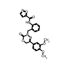 COc1ccc(C2=NN(Cc3ccccc3NC(=O)c3ccno3)C(=O)OC2)cc1OC